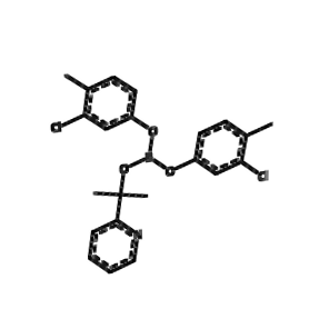 Cc1ccc(OB(Oc2ccc(C)c(Cl)c2)OC(C)(C)c2ccccn2)cc1Cl